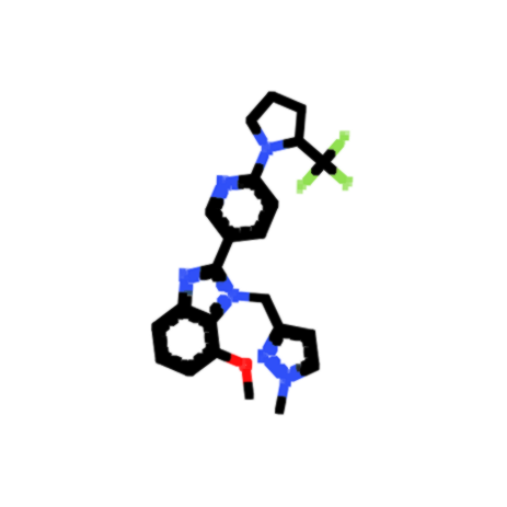 COc1cccc2nc(-c3ccc(N4CCCC4C(F)(F)F)nc3)n(Cc3ccn(C)n3)c12